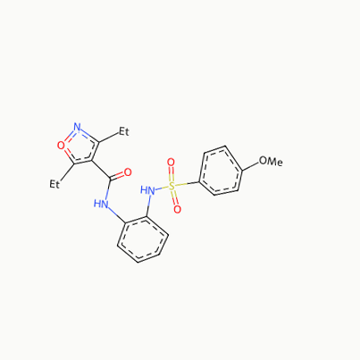 CCc1noc(CC)c1C(=O)Nc1ccccc1NS(=O)(=O)c1ccc(OC)cc1